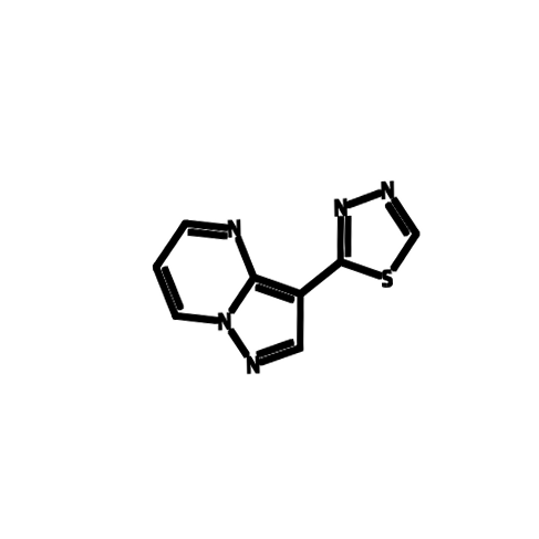 c1cnc2c(-c3nncs3)cnn2c1